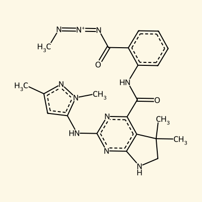 CN=[N+]=NC(=O)c1ccccc1NC(=O)c1nc(Nc2cc(C)nn2C)nc2c1C(C)(C)CN2